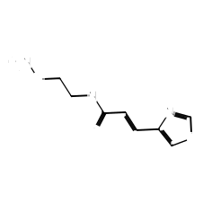 O=C(C=Cc1cscn1)NCCO[N+](=O)[O-]